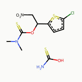 CN(C)C(=S)OC(C[N+](=O)[O-])c1ccc(Cl)s1.NC(O)=S